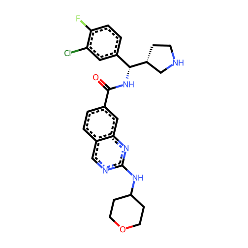 O=C(N[C@H](c1ccc(F)c(Cl)c1)[C@@H]1CCNC1)c1ccc2cnc(NC3CCOCC3)nc2c1